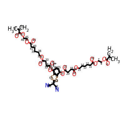 C=C(C)C(=O)OCCOC(=O)CCCCCOC(=O)CCC(=O)Oc1cc(C)c(OC(=O)CCC(=O)OCCCCCC(=O)OCCOC(=O)C(=C)C)c2c1SC(=C(C#N)C#N)S2